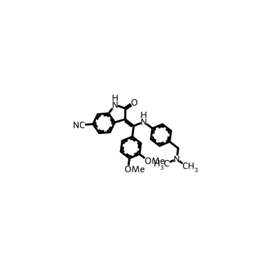 COc1ccc(/C(Nc2ccc(CN(C)C)cc2)=C2/C(=O)Nc3cc(C#N)ccc32)cc1OC